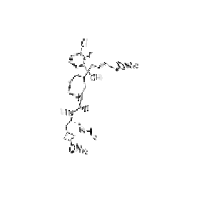 COCCCC[C@@](O)(c1cccc(Cl)c1F)[C@@H]1CCCN(C(=O)N[C@H](CN)CC2CC(OC)C2)C1